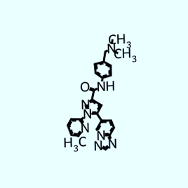 Cc1cccc(-n2nc(C(=O)Nc3ccc(CN(C)C)cc3)cc2-c2ccc3ncnn3c2)n1